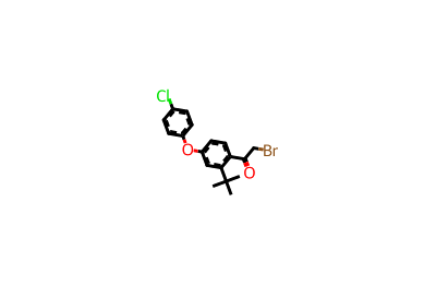 CC(C)(C)c1cc(Oc2ccc(Cl)cc2)ccc1C(=O)CBr